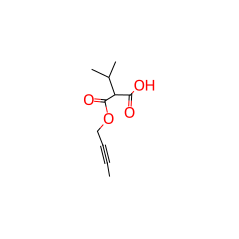 CC#CCOC(=O)C(C(=O)O)C(C)C